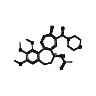 COc1cc2c(c(OC)c1OC)-c1ccc(=O)c(C(=O)N3CCOCC3)cc1[C@@H](NC(C)=O)CC2